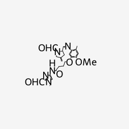 C=C1CC(/C=N\c2cc(OCCCC(=O)Nc3cn(C)c(C=O)n3)c(OC)cc2C)N(C=O)C1